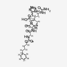 NC(=O)NCCC(Sc1nnn[nH]1)C1=C(C(=O)O)N2C(=O)C(NC(=O)CNC(=O)OCCCCc3ccccc3)[C@@H]2SC1